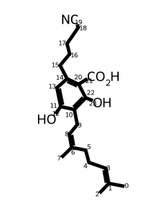 CC(C)=CCCC(C)=CCc1c(O)cc(CCCCC#N)c(C(=O)O)c1O